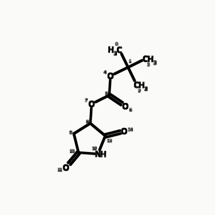 CC(C)(C)OC(=O)OC1CC(=O)NC1=O